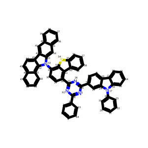 c1ccc(-c2nc(-c3ccc4c5ccccc5n(-c5ccccc5)c4c3)nc(-c3ccc(-n4c5cc6ccccc6cc5c5ccc6ccccc6c54)c4sc5ccccc5c34)n2)cc1